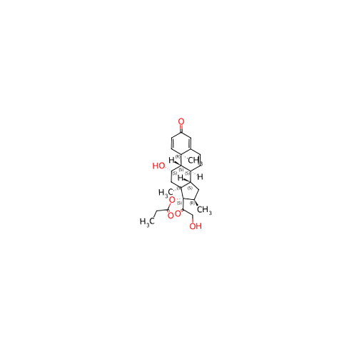 CCC(=O)O[C@@]1(C(=O)CO)[C@H](C)C[C@H]2[C@@H]3C=CC4=CC(=O)C=C[C@]4(C)[C@H]3[C@@H](O)C[C@@]21C